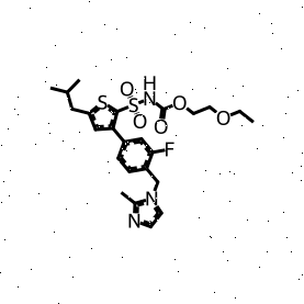 CCOCCOC(=O)NS(=O)(=O)c1sc(CC(C)C)cc1-c1ccc(Cn2ccnc2C)c(F)c1